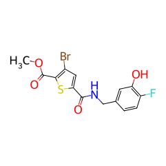 COC(=O)c1sc(C(=O)NCc2ccc(F)c(O)c2)cc1Br